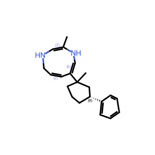 C/C1=C/NC/C=C\C(C2(C)CCC[C@@H](c3ccccc3)C2)=C/N1